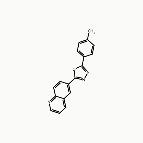 Cc1ccc(-c2nnc(-c3ccc4ncccc4c3)o2)cc1